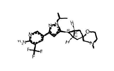 CC(C)n1nc(-c2cnc(N)c(C(F)(F)F)c2)cc1[C@H]1[C@@H]2CC3(C[C@@H]21)CN(C)CCO3